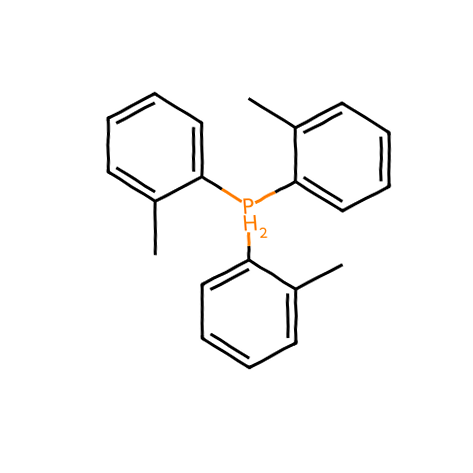 Cc1ccccc1[PH2](c1ccccc1C)c1ccccc1C